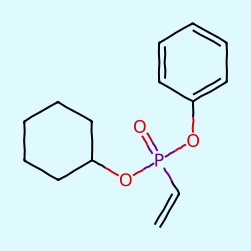 C=CP(=O)(Oc1ccccc1)OC1CCCCC1